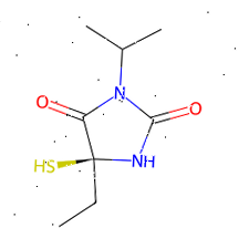 CC[C@@]1(S)NC(=O)N(C(C)C)C1=O